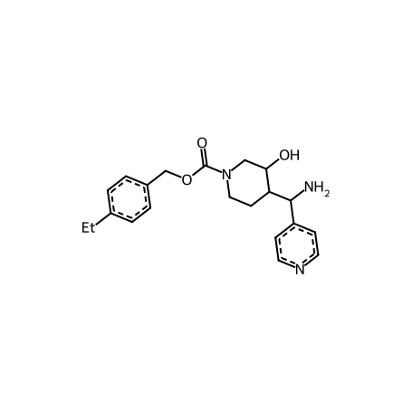 CCc1ccc(COC(=O)N2CCC(C(N)c3ccncc3)C(O)C2)cc1